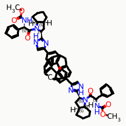 COC(=O)N[C@H](C(=O)N1[C@H](c2nc(-c3ccc(-c4cc5ccc4CCc4ccc(c(-c6ccc(-c7c[nH]c([C@@H]8C[C@@H]9CCCC[C@@H]9N8C(=O)[C@@H](NC(=O)OC)c8ccccc8)n7)cc6)c4)CC5)cc3)c[nH]2)C[C@@H]2CCCC[C@@H]21)c1ccccc1